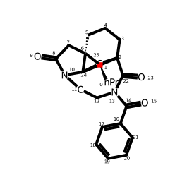 CCC[C@]12C34CCC[C@]15CC(=O)N(CCN(C(=O)c1ccccc1)C3=O)C52C4